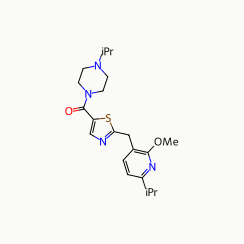 COc1nc(C(C)C)ccc1Cc1ncc(C(=O)N2CCN(C(C)C)CC2)s1